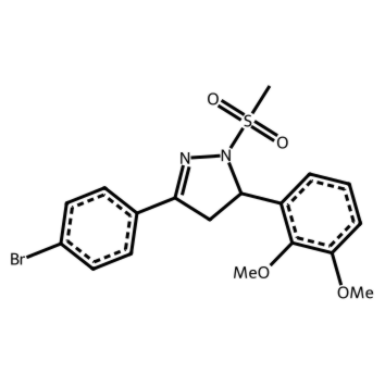 COc1cccc(C2CC(c3ccc(Br)cc3)=NN2S(C)(=O)=O)c1OC